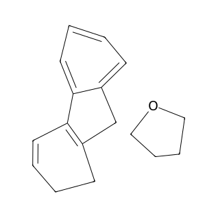 C1=CC2=C(CC1)Cc1ccccc12.C1CCOC1